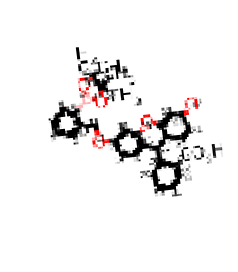 CC1(C)OB(c2ccccc2COc2ccc3c(c2)OC2=CC(=O)C=CC2C3c2ccccc2C(=O)O)OC1(C)C